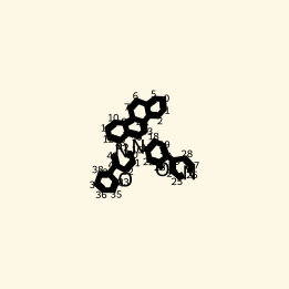 c1ccc2c(c1)ccc1c3ccccc3c(N(c3ccc4c(c3)oc3cnccc34)c3cc4oc5ccccc5c4cn3)cc21